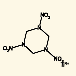 O=[N+]([O-])N1CN([N+](=O)[O-])CN([N+](=O)[O-])C1.[Ti+4]